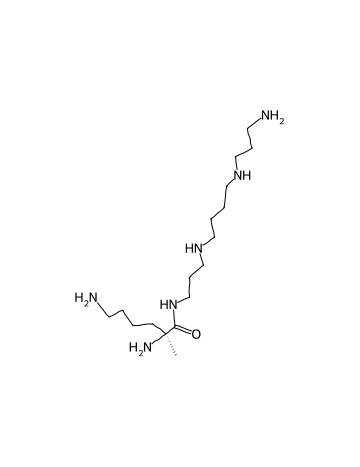 C[C@](N)(CCCCN)C(=O)NCCCNCCCCNCCCN